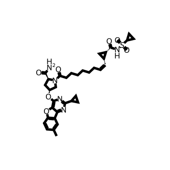 Cc1ccc2oc3c(O[C@@H]4C[C@@H](C(N)=O)N(C(=O)CCCCCC/C=C\[C@@H]5C[C@@H]5C(=O)NS(=O)(=O)C5CC5)C4)nc(C4CC4)nc3c2c1